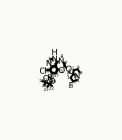 CN1C=C(OC[C@@]23CCCN2C[C@H](F)C3)Oc2cc(B3OC(C)(C)C(C)(C)O3)c(Cl)c3c2=C1NCN=3